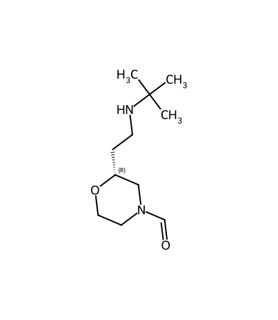 CC(C)(C)NCC[C@@H]1CN(C=O)CCO1